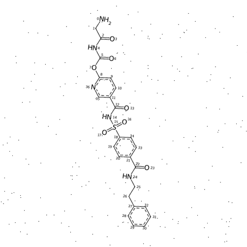 NCC(=O)NC(=O)Oc1ccc(C(=O)NS(=O)(=O)c2ccc(C(=O)NCCc3ccccc3)cc2)cn1